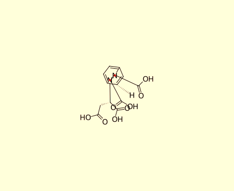 O=C(O)C[C@@H](C(=O)O)N1c2ccc(cc2)N=C(C(=O)O)[C@H]1C(=O)O